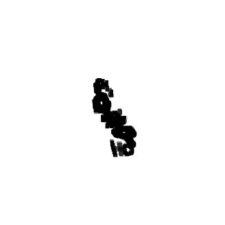 COc1ccc(-c2nc3sc(-c4ccc(CO)cc4)nc3s2)cc1